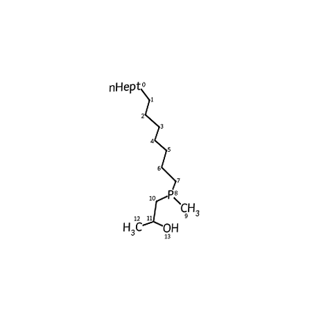 CCCCCCCCCCCCCCP(C)CC(C)O